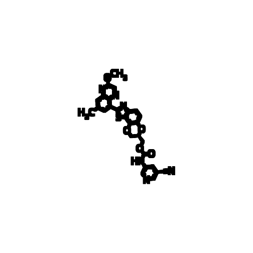 COc1cnc2c(-c3nc4ccc5c(c4s3)OC[C@H](COC(=O)Nc3cncc(C#N)c3)O5)cc(C)cc2n1